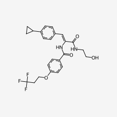 O=C(NCCO)C(=Cc1ccc(C2CC2)cc1)NC(=O)c1ccc(OCCC(F)(F)F)cc1